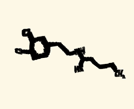 CCCCC(=N)N/C=C/c1ccc(Cl)c(Cl)c1